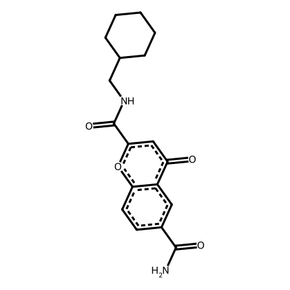 NC(=O)c1ccc2oc(C(=O)NCC3CCCCC3)cc(=O)c2c1